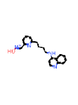 O/N=C/c1cccc(CCCCNc2ccnc3ccccc23)n1